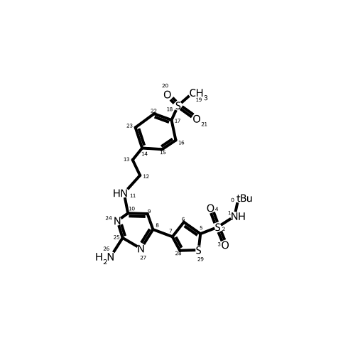 CC(C)(C)NS(=O)(=O)c1cc(-c2cc(NCCc3ccc(S(C)(=O)=O)cc3)nc(N)n2)cs1